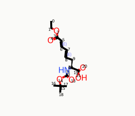 CCOC(=O)/C=C/C=C/C[C@H](NC(=O)OC(C)(C)C)C(=O)O